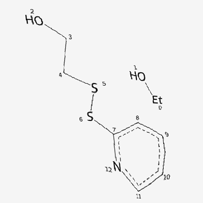 CCO.OCCSSc1ccccn1